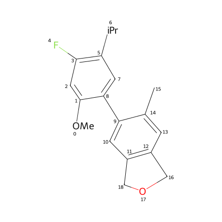 COc1cc(F)c(C(C)C)cc1-c1cc2c(cc1C)COC2